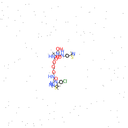 Cc1ncsc1-c1ccc(CNC(=O)[C@@H]2C[C@@H](O)CN2C(=O)[C@@H](NC(=O)COCCOCCOCCNC(=O)C[C@H]2N=C(c3ccc(Cl)cc3)c3c(sc(C)c3C)-n3c(C)nnc32)C(C)(C)C)cc1